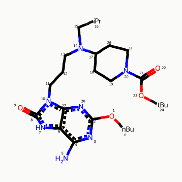 CCCCOc1nc(N)c2[nH]c(=O)n(CCCN(CC(C)C)C3CCN(C(=O)OC(C)(C)C)CC3)c2n1